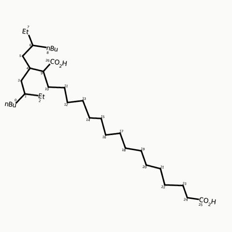 CCCCC(CC)CC(CC(CC)CCCC)C(CCCCCCCCCCCCCCCC(=O)O)C(=O)O